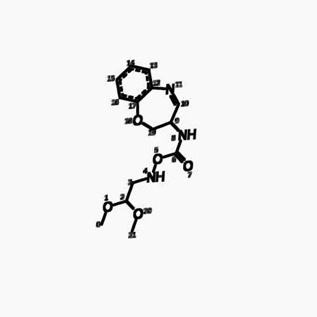 COC(CNOC(=O)NC1C=Nc2ccccc2OC1)OC